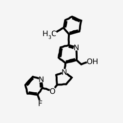 Cc1ccccc1-c1ccc(N2CCC(Oc3ncccc3F)C2)c(CO)n1